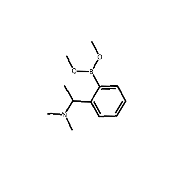 COB(OC)c1ccccc1C(C)N(C)C